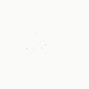 COC[C@]1(C)CO[C@@H](c2nc(-c3ccccc3)c(-c3ccccc3)[nH]2)OC1